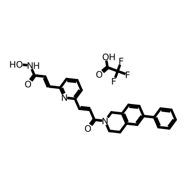 O=C(C=Cc1cccc(C=CC(=O)N2CCc3cc(-c4ccccc4)ccc3C2)n1)NO.O=C(O)C(F)(F)F